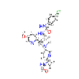 COc1ccc([C@@H]2CN(c3ccc(C4(NC(C)=O)CC4)nc3)CC[C@H]2NC(=O)Nc2ccc(Cl)cc2)nc1